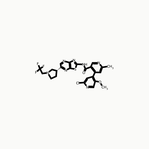 COc1cnc(Cl)cc1-c1cc(C)ncc1C(=O)Nc1nc2ncc([C@@H]3CCN(CC(F)(F)F)C3)nc2s1